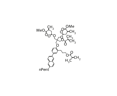 C=C(C)C(=O)OCCCc1cc(-c2ccc3cc(CCCCC)ccc3c2)ccc1OCC(COC(=O)CC(=C)C(=O)OC)(COC(=O)CC(=C)C(=O)OC)COC(=O)C(=C)C